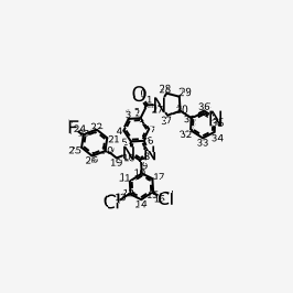 O=C(c1ccc2c(c1)nc(-c1cc(Cl)cc(Cl)c1)n2Cc1ccc(F)cc1)N1CCC(c2cccnc2)C1